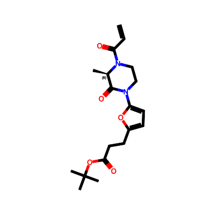 C=CC(=O)N1CCN(c2ccc(CCC(=O)OC(C)(C)C)o2)C(=O)[C@H]1C